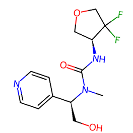 CN(C(=O)N[C@H]1COCC1(F)F)[C@@H](CO)c1ccncc1